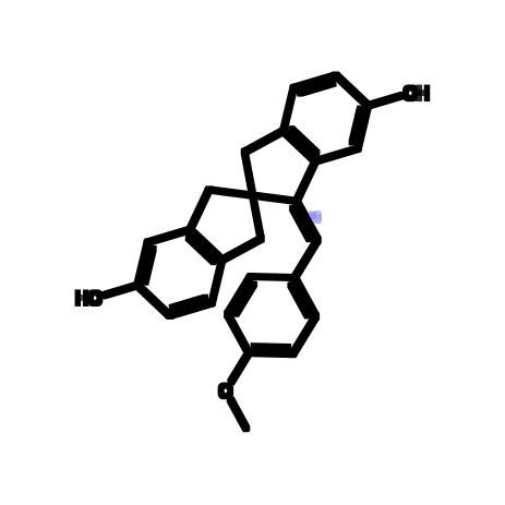 COc1ccc(/C=C2/c3cc(O)ccc3CC23Cc2ccc(O)cc2C3)cc1